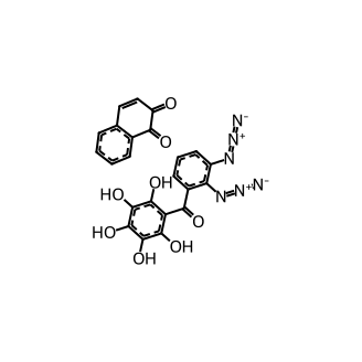 O=C1C=Cc2ccccc2C1=O.[N-]=[N+]=Nc1cccc(C(=O)c2c(O)c(O)c(O)c(O)c2O)c1N=[N+]=[N-]